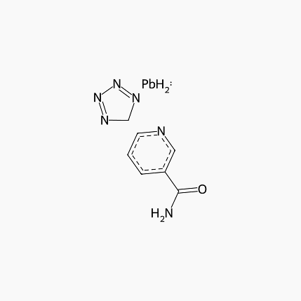 C1N=NN=N1.NC(=O)c1cccnc1.[PbH2]